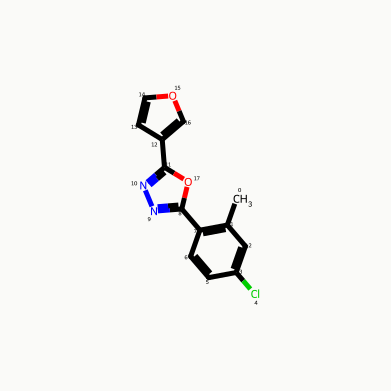 Cc1cc(Cl)ccc1-c1nnc(-c2ccoc2)o1